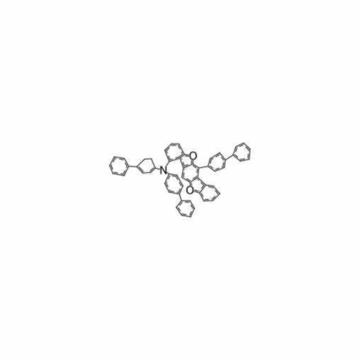 C1=C(c2ccccc2)CCC(N(c2ccc(-c3ccccc3)cc2)c2cccc3oc4c(-c5ccc(-c6ccccc6)cc5)c5c(cc4c23)oc2ccccc25)=C1